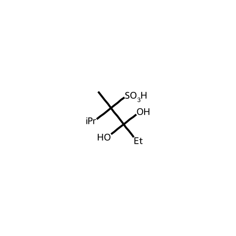 CCC(O)(O)C(C)(C(C)C)S(=O)(=O)O